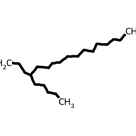 [CH2]CCC(CCCCC)CCCCCCCCCCCCC